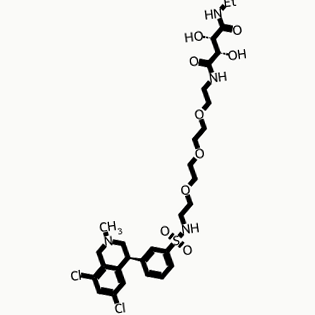 CCNC(=O)[C@@H](O)[C@H](O)C(=O)NCCOCCOCCOCCNS(=O)(=O)c1cccc([C@@H]2CN(C)Cc3c(Cl)cc(Cl)cc32)c1